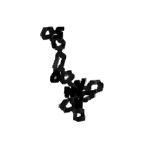 c1ccc(-c2nc(-c3ccc4c(c3)oc3ccc(-c5ccc6sc7ccccc7c6c5)cc34)nc(-c3cccc4c5ccccc5n(-c5ccccc5)c34)n2)cc1